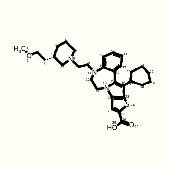 COCC[C@@H]1CCCN(CCN2CCn3c(c(C4CCCCC4)c4sc(C(=O)O)cc43)-c3ccccc32)C1